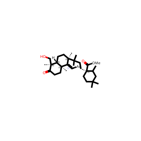 COC(=O)[C@]1(CCC(C)(C)[C@]2(C)CC[C@H]3[C@](C)(CO)C(=O)CC[C@]3(C)/C2=C/C(C)=O)CCC(C)(C)CC1C